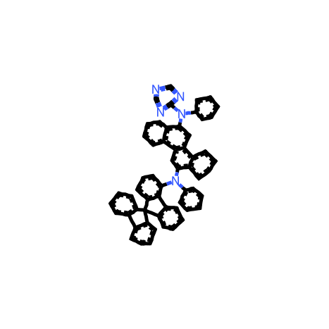 c1ccc(N(c2ncncn2)c2cc3c4ccccc4c(N(c4ccccc4)c4cccc5c4-c4ccccc4C54c5ccccc5-c5ccccc54)cc3c3ccccc23)cc1